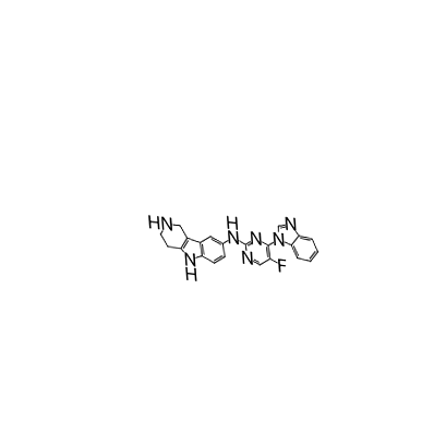 Fc1cnc(Nc2ccc3[nH]c4c(c3c2)CNCC4)nc1-n1cnc2ccccc21